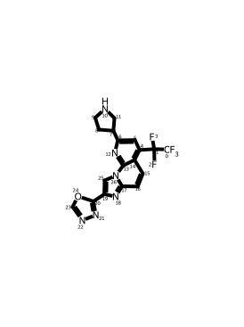 FC(F)(F)C(F)(F)c1cc(C2CCNC2)nc2c1ccc1nc(-c3nnco3)cn12